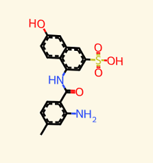 Cc1ccc(C(=O)Nc2cc(S(=O)(=O)O)cc3cc(O)ccc23)c(N)c1